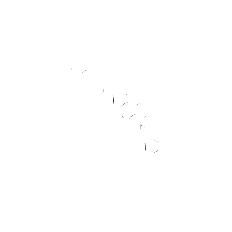 COc1c(N2CCC(CC(=O)O)CC2)c(F)cc2c(=O)c(C(=O)NCc3ccc(Cl)cc3C)cn(C3CC3)c12